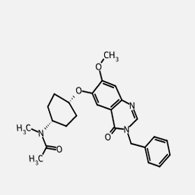 COc1cc2ncn(Cc3ccccc3)c(=O)c2cc1O[C@H]1CC[C@@H](N(C)C(C)=O)CC1